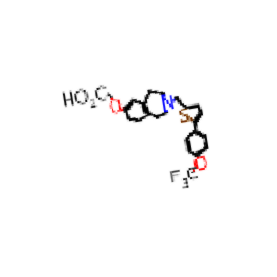 O=C(O)COc1ccc2c(c1)CCN(Cc1ccc(-c3ccc(OC(F)(F)F)cc3)s1)CC2